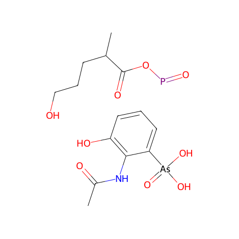 CC(=O)Nc1c(O)cccc1[As](=O)(O)O.CC(CCCO)C(=O)OP=O